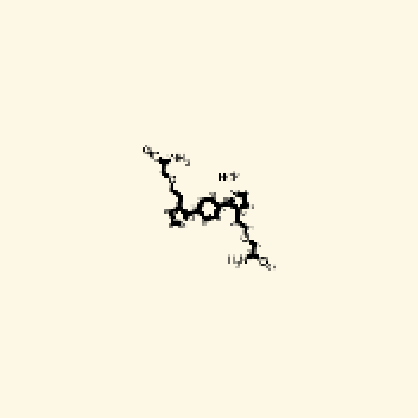 Cl.NC(=C=O)COCCc1ccsc1-c1ccc(-c2sccc2CCOCC(N)=C=O)cc1